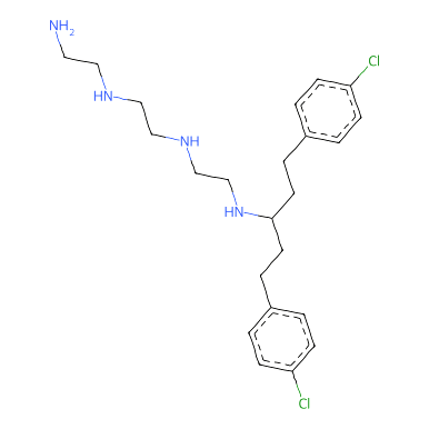 NCCNCCNCCNC(CCc1ccc(Cl)cc1)CCc1ccc(Cl)cc1